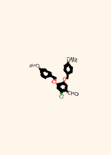 COc1ccc(COc2cc(Cl)c(C=O)cc2OCc2ccc(OC)cc2)cc1